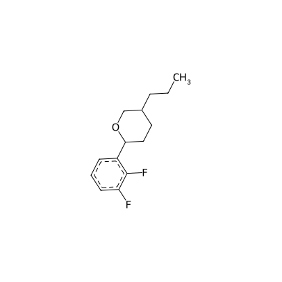 CCCC1CCC(c2cccc(F)c2F)OC1